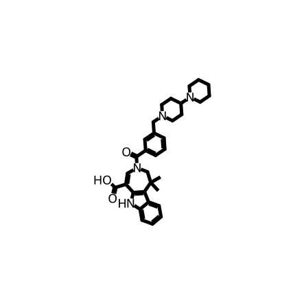 CC1(C)CN(C(=O)c2cccc(CN3CCC(N4CCCCC4)CC3)c2)C=C(C(=O)O)c2[nH]c3ccccc3c21